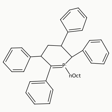 CCCCCCCC[P]1=C(c2ccccc2)C(c2ccccc2)CC(c2ccccc2)C1c1ccccc1